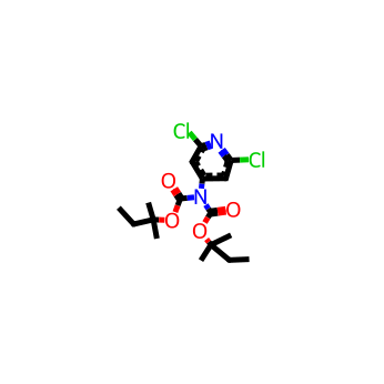 CCC(C)(C)OC(=O)N(C(=O)OC(C)(C)CC)c1cc(Cl)nc(Cl)c1